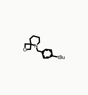 CC(C)(C)c1ccc(CN2CCCCC23COC3)cc1